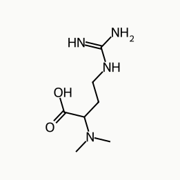 CN(C)C(CCNC(=N)N)C(=O)O